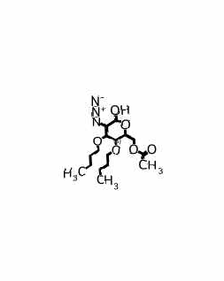 CCCCOC1C(N=[N+]=[N-])C(O)OC(COC(C)=O)[C@H]1OCCCC